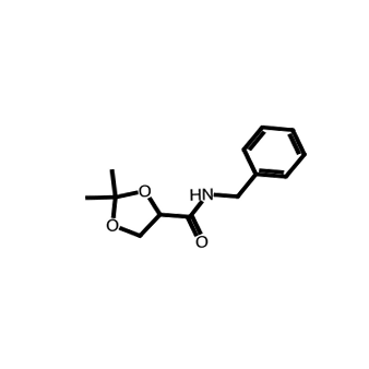 CC1(C)OCC(C(=O)NCc2ccccc2)O1